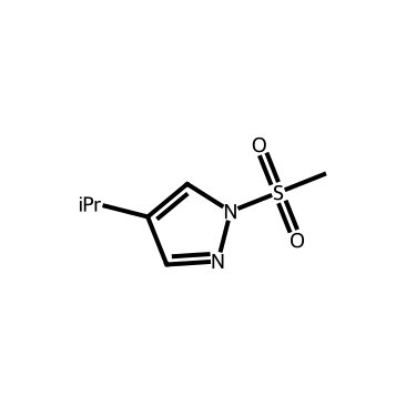 CC(C)c1cnn(S(C)(=O)=O)c1